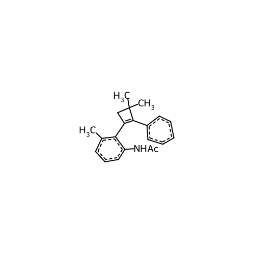 CC(=O)Nc1cccc(C)c1C1=C(c2ccccc2)C(C)(C)C1